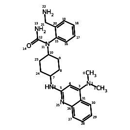 CN(C)c1cc(NC2CCC(N(C(N)=O)c3ccccc3CN)CC2)nc2ccccc12